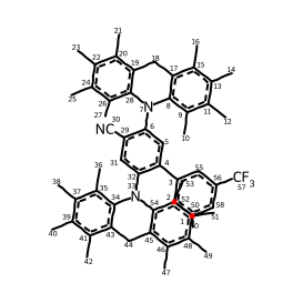 Cc1cc(-c2cc(N3c4c(C)c(C)c(C)c(C)c4Cc4c(C)c(C)c(C)c(C)c43)c(C#N)cc2N2c3c(C)c(C)c(C)c(C)c3Cc3c(C)c(C)c(C)c(C)c32)cc(C(F)(F)F)c1